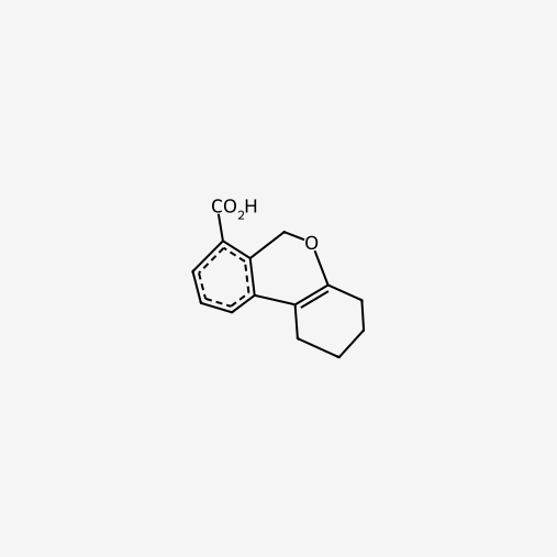 O=C(O)c1cccc2c1COC1=C2CCCC1